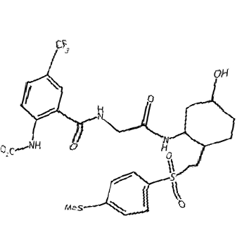 CSc1ccc(S(=O)(=O)CC2CCC(O)CC2NC(=O)CNC(=O)c2cc(C(F)(F)F)ccc2NC(=O)O)cc1